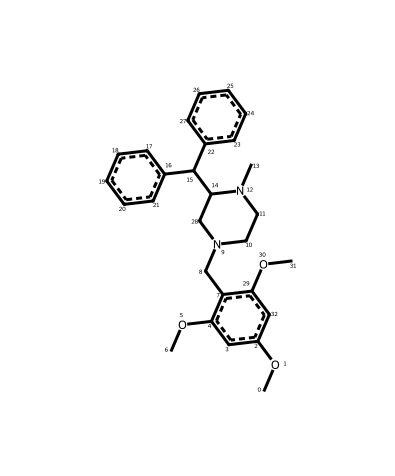 COc1cc(OC)c(CN2CCN(C)C(C(c3ccccc3)c3ccccc3)C2)c(OC)c1